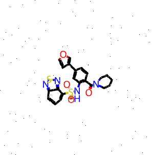 O=C(c1ccc(-c2ccoc2)cc1NS(=O)(=O)c1cccc2nsnc12)N1CCCCC1